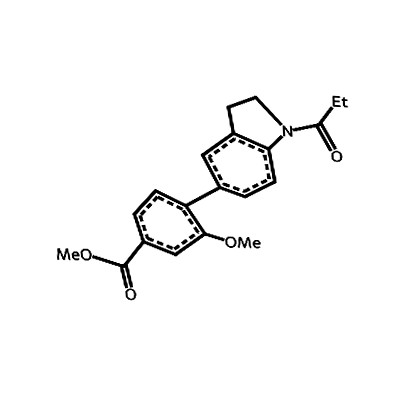 CCC(=O)N1CCc2cc(-c3ccc(C(=O)OC)cc3OC)ccc21